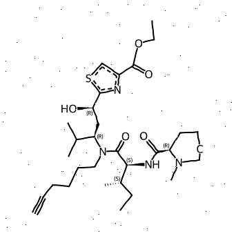 C#CCCCCN(C(=O)[C@@H](NC(=O)[C@H]1CCCCN1C)[C@@H](C)CC)[C@H](C[C@@H](O)c1nc(C(=O)OCC)cs1)C(C)C